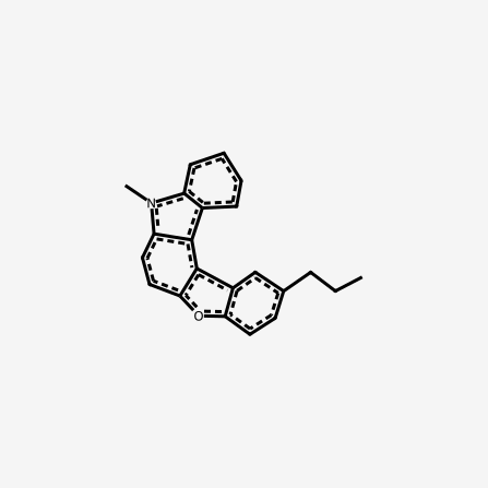 CCCc1ccc2oc3ccc4c(c5ccccc5n4C)c3c2c1